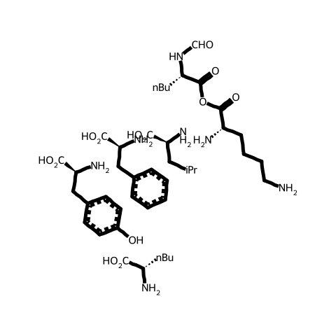 CC(C)C[C@H](N)C(=O)O.CCCC[C@H](N)C(=O)O.CCCC[C@H](NC=O)C(=O)OC(=O)[C@@H](N)CCCCN.N[C@@H](Cc1ccc(O)cc1)C(=O)O.N[C@@H](Cc1ccccc1)C(=O)O